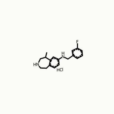 CC1CNCCc2ccc(NCc3cccc(F)c3)cc21.Cl